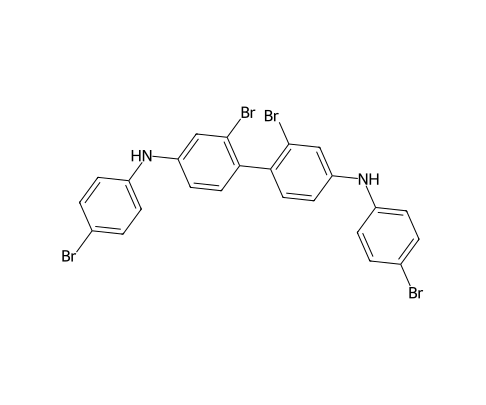 Brc1ccc(Nc2ccc(-c3ccc(Nc4ccc(Br)cc4)cc3Br)c(Br)c2)cc1